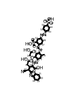 Cc1cc(N=Nc2c(CC(=O)O)c(C#N)c3nc4ccccc4n3c2O)c(OCC(=O)O)cc1N=Nc1ccc(N=Nc2ccc(S(=O)(=O)O)cc2)cc1S(=O)(=O)O